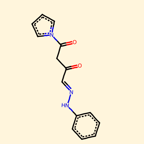 O=C(C=NNc1ccccc1)CC(=O)n1cccc1